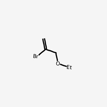 [CH2]COCC(=C)Br